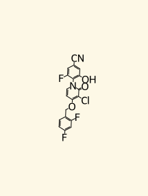 N#Cc1cc(O)c(-n2ccc(OCc3ccc(F)cc3F)c(Cl)c2=O)c(F)c1